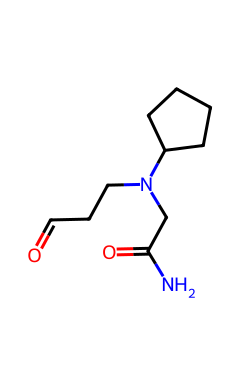 NC(=O)CN(CCC=O)C1CCCC1